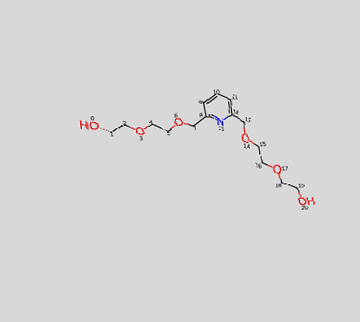 OCCOCCOCc1cccc(COCCOCCO)n1